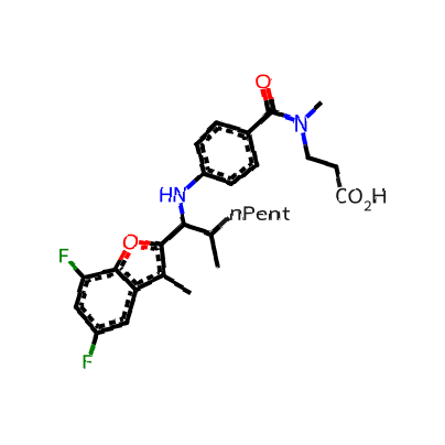 CCCCCC(C)C(Nc1ccc(C(=O)N(C)CCC(=O)O)cc1)c1oc2c(F)cc(F)cc2c1C